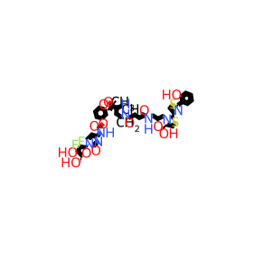 C=C(CC(CC)[C@]1(C)C[C@]2(CCCC(OC(=O)Nc3ccn([C@@H]4O[C@H](CO)[C@@H](O)C4(F)F)c(=O)n3)C2)OO1)NC(=O)CCC(=O)NCCCN1C([C@H]2CSC(c3ccccc3O)=N2)SC[C@H]1C(=O)O